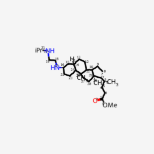 COC(=O)CC[C@@H](C)[C@H]1CCC2C3CC[C@H]4C[C@H](NCCNC(C)C)CC[C@]4(C)C3CC[C@@]21C